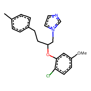 COc1ccc(Cl)c(OC(CCc2ccc(C)cc2)Cn2ccnc2)c1